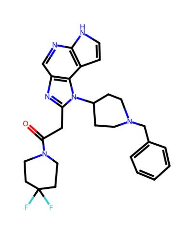 O=C(Cc1nc2cnc3[nH]ccc3c2n1C1CCN(Cc2ccccc2)CC1)N1CCC(F)(F)CC1